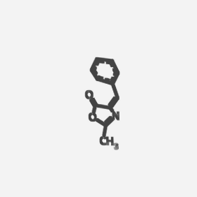 CC1=NC(=Cc2ccccc2)C(=O)O1